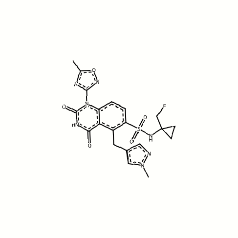 Cc1nc(-n2c(=O)[nH]c(=O)c3c(Cc4cnn(C)c4)c(S(=O)(=O)NC4(CF)CC4)ccc32)no1